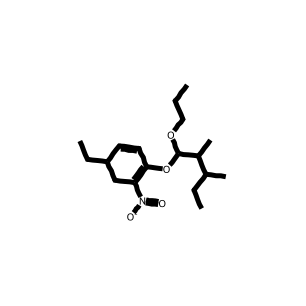 CCCOC(OC1=C([N+](=O)[O-])CC(CC)C=C1)C(C)C(C)CC